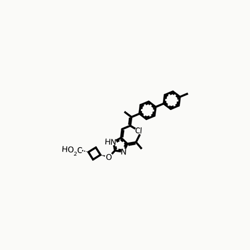 CC(C)=c1nc(O[C@H]2C[C@@H](C(=O)O)C2)[nH]/c1=C/C(Cl)=C(\C)c1ccc(-c2ccc(C)cc2)cc1